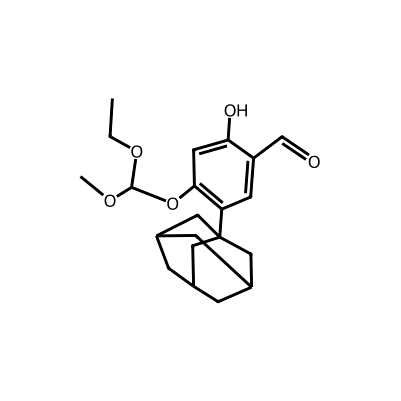 CCOC(OC)Oc1cc(O)c(C=O)cc1C12CC3CC(CC(C3)C1)C2